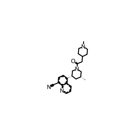 C[C@@H]1C[C@H](c2ccc(C#N)c3ncccc23)CN(C(=O)CC2CCN(C)CC2)C1